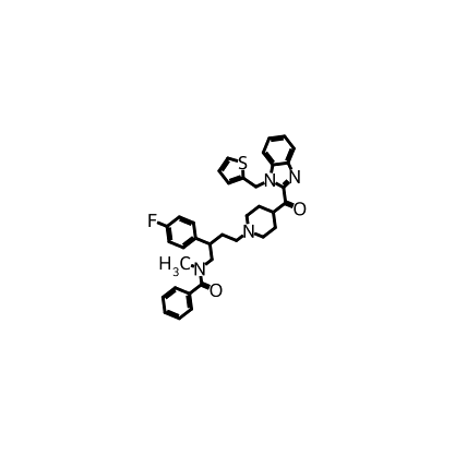 CN(CC(CCN1CCC(C(=O)c2nc3ccccc3n2Cc2cccs2)CC1)c1ccc(F)cc1)C(=O)c1ccccc1